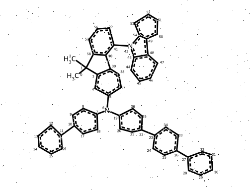 CC1(C)c2cc(N(c3ccc(-c4ccccc4)cc3)c3ccc(-c4ccc(-c5ccccc5)cc4)cc3)ccc2-c2c(-n3c4ccccc4c4ccccc43)cccc21